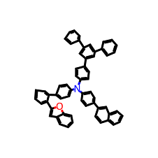 c1ccc(-c2cc(-c3ccccc3)cc(-c3ccc(N(c4ccc(-c5ccc6ccccc6c5)cc4)c4ccc(-c5ccccc5-c5cc6ccccc6o5)cc4)cc3)c2)cc1